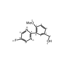 COc1ccc(CO)cc1-c1ncc(F)cn1